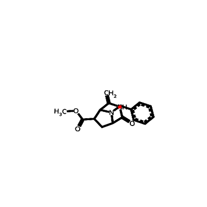 C=C1NC(=O)C2CC(C(=O)OC)C1N2Cc1ccccc1